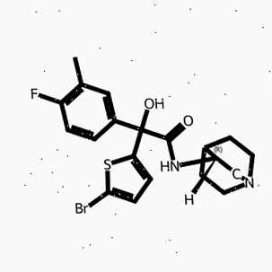 Cc1cc(C(O)(C(=O)N[C@H]2CN3CCC2CC3)c2ccc(Br)s2)ccc1F